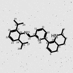 CC1CCC2CC=CC(c3cccc(/C=N/C4C(C(C)C)=CC=CC4C(C)C)n3)=C2N1